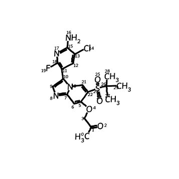 CC(=O)COc1cc2ncc(-c3cc(Cl)c(N)nc3F)n2cc1S(=O)(=O)C(C)(C)C